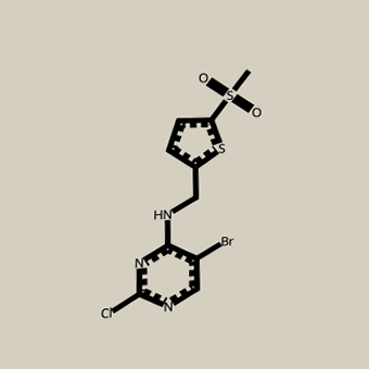 CS(=O)(=O)c1ccc(CNc2nc(Cl)ncc2Br)s1